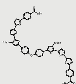 CCCCCCc1cc(-c2ccc(Oc3ccc(-c4cc(CCCCCC)c(-c5ccc(-c6ccc(-c7ccc(C(=O)CCCC)cc7)s6)s5)s4)cc3)cc2)sc1-c1ccc(-c2ccc(-c3ccc(C(=O)CCCC)cc3)s2)s1